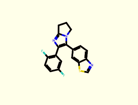 Fc1ccc(F)c(-c2nc3n(c2-c2ccc4ncsc4c2)CCC3)c1